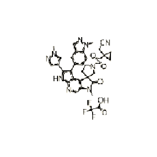 CN1C(=O)C2(CCN(S(=O)(=O)C3(CC#N)CC3)C2)c2c1cnc1[nH]c(-c3cnn(C)c3)c(-c3ccc4c(cnn4C)c3)c21.O=C(O)C(F)(F)F